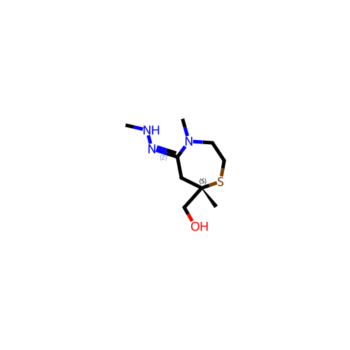 CN/N=C1/C[C@@](C)(CO)SCCN1C